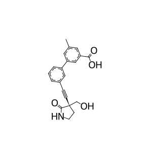 Cc1cc(C(=O)O)cc(-c2cccc(C#C[C@@]3(CO)CCNC3=O)c2)c1